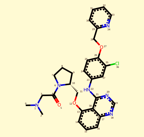 CN(C)CC(=O)N1CCC[C@@H]1COc1cccc2ncnc(Nc3ccc(OCc4ccccn4)c(Cl)c3)c12